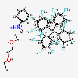 CCOCCOCC.C[NH+](C)c1ccccc1.Fc1c(F)c(F)c([B-](c2c(F)c(F)c(F)c(F)c2F)(c2c(F)c(F)c(F)c(F)c2F)c2c(F)c(F)c(F)c(F)c2F)c(F)c1F